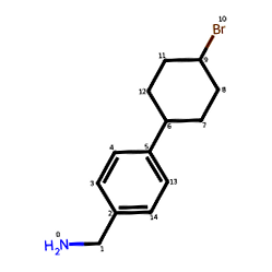 NCc1ccc(C2CCC(Br)CC2)cc1